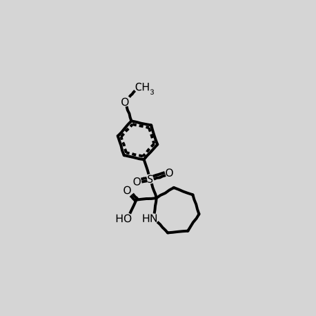 COc1ccc(S(=O)(=O)C2(C(=O)O)CCCCCN2)cc1